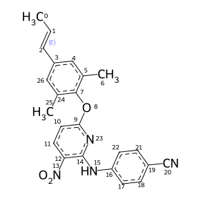 C/C=C/c1cc(C)c(Oc2ccc([N+](=O)[O-])c(Nc3ccc(C#N)cc3)n2)c(C)c1